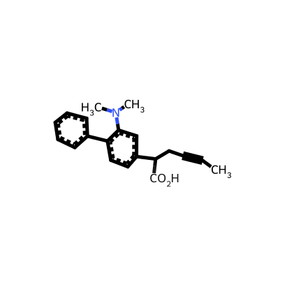 CC#CCC(C(=O)O)c1ccc(-c2ccccc2)c(N(C)C)c1